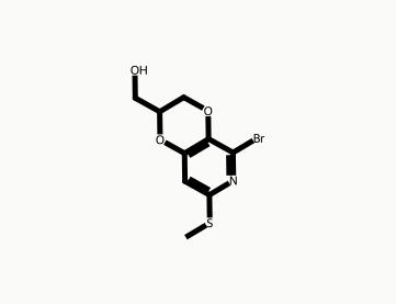 CSc1cc2c(c(Br)n1)OCC(CO)O2